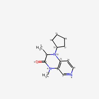 CC1C(=O)N(C)c2cnccc2N1C1CCCC1